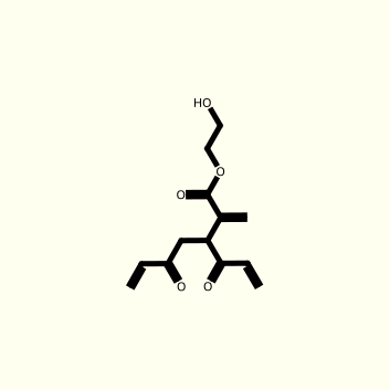 C=CC(=O)CC(C(=C)C(=O)OCCO)C(=O)C=C